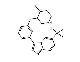 FC1CCNCC1Nc1cccc(-c2cnc3ccc(C4(C(F)(F)F)CC4)cn23)n1